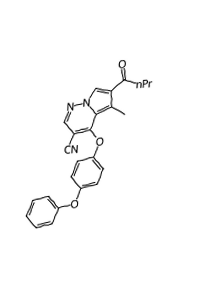 CCCC(=O)c1cn2ncc(C#N)c(Oc3ccc(Oc4ccccc4)cc3)c2c1C